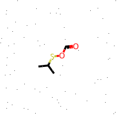 CC(C)SOC=O